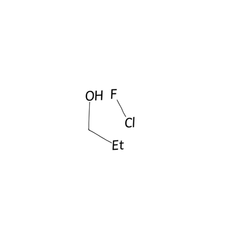 CCCO.FCl